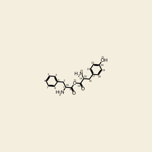 N[C@@H](Cc1ccccc1)C(=O)OC(=O)[C@@H](N)Cc1ccc(O)cc1